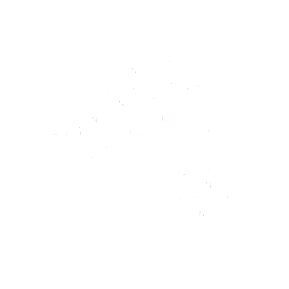 Cn1ccn(-c2ccc(-c3cc(F)cc(-c4ccnc(N5CCN6C(=O)OC[C@@H]6C5)c4)c3O)cc2Cl)c1=O